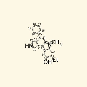 CCc1cc2c(cc1O)c1c3c[nH]cc3c(-c3ccccc3)cc1n2C